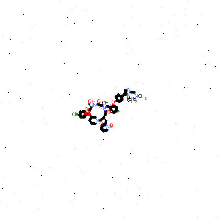 C[C@H]1C(=O)N[C@@H](CO)C(=O)N(C)[C@@]2(Cc3ccc(Cl)cc3)CCCN(C2)C(=O)[C@H](Cc2cccc[n+]2[O-])CC(=O)N1Cc1c(F)cc(Cl)cc1Oc1ccc(-c2cnc(CN(C)C)n2C)cc1